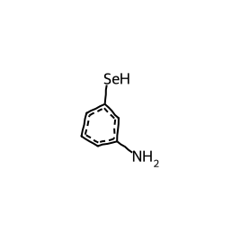 Nc1cccc([SeH])c1